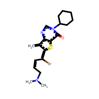 C=c1/c(=C(Br)\C=C/CN(C)C)sc2c(=O)n(C3CCCCC3)cnc12